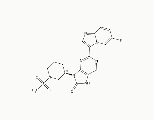 CS(=O)(=O)N1CCC[C@@H](n2c(=O)[nH]c3cnc(-c4cnc5ccc(F)cn45)nc32)C1